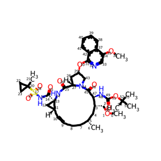 COC[C@@H]1C[C@H](C)CC/C=C\[C@@H]2C[C@@]2(C(=O)NS(=O)(=O)C2(C)CC2)NC(=O)[C@@H]2C[C@@H](Oc3ncc(OC)c4ccccc34)CN2C(=O)[C@H]1NC(=O)OC(C)(C)C